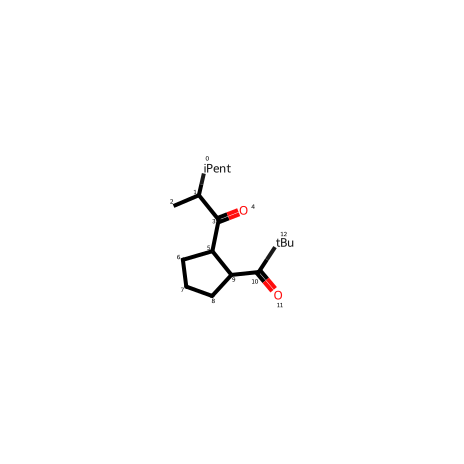 CCCC(C)C(C)C(=O)C1CCCC1C(=O)C(C)(C)C